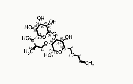 C=CCOC[C@H]1O[C@H](O)[C@H](OCC=C)[C@@H](O[C@H]2O[C@H](CO)[C@H](O)[C@H](O)[C@H]2O)[C@H]1O